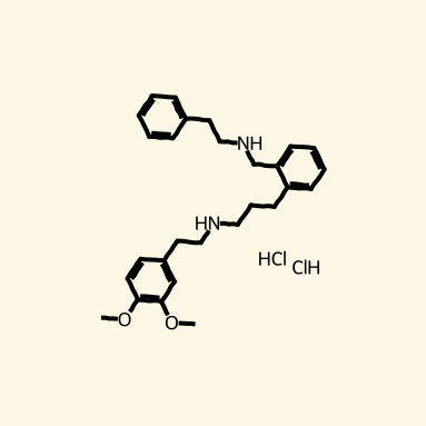 COc1ccc(CCNCCCc2ccccc2CNCCc2ccccc2)cc1OC.Cl.Cl